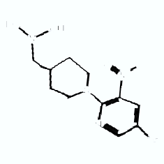 CN(C)CC1CCN(c2ncc(Br)cc2[N+](=O)[O-])CC1